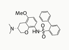 COc1ccc(NS(=O)(=O)c2ccccc2-c2ccccc2)c2c1C[C@@H](N(C)C)CO2